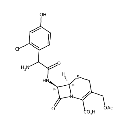 CC(=O)OCC1=C(C(=O)O)N2C(=O)[C@@H](NC(=O)C(N)c3ccc(O)cc3Cl)[C@H]2SC1